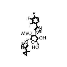 CO[C@@H]1[C@@H](n2cc(-c3ccc(F)c(F)c3F)nn2)[C@@H](O)[C@@H](CO)O[C@@H]1Cn1cc(C2(C)CC2)nn1